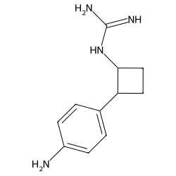 N=C(N)NC1CCC1c1ccc(N)cc1